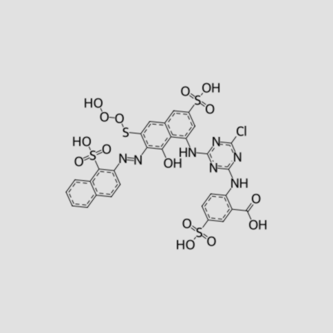 O=C(O)c1cc(S(=O)(=O)O)ccc1Nc1nc(Cl)nc(Nc2cc(S(=O)(=O)O)cc3cc(SOOO)c(/N=N/c4ccc5ccccc5c4S(=O)(=O)O)c(O)c23)n1